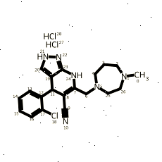 CN1CCCN(CC2=C(C#N)C(c3ccccc3Cl)c3c[nH]nc3N2)CC1.Cl.Cl